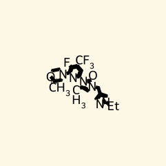 CCn1cc(Cn2cc(C)n(-c3cc(C(F)(F)F)c(F)c(N4CCO[C@H](C)C4)n3)c2=O)cn1